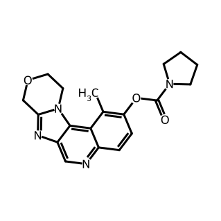 Cc1c(OC(=O)N2CCCC2)ccc2ncc3nc4n(c3c12)CCOC4